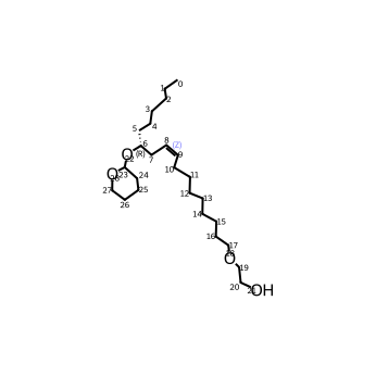 CCCCCC[C@H](C/C=C\CCCCCCCCOCCO)OC1CCCCO1